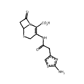 Nc1nc(CC(=O)NC2=C(C(=O)O)N3C(=O)CC3SC2)cs1